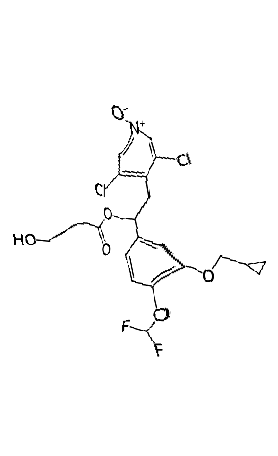 O=C(CCO)OC(Cc1c(Cl)c[n+]([O-])cc1Cl)c1ccc(OC(F)F)c(OCC2CC2)c1